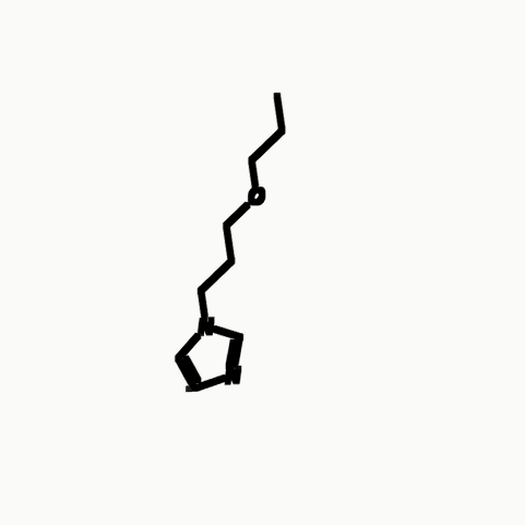 CCCOCCCn1c[c]nc1